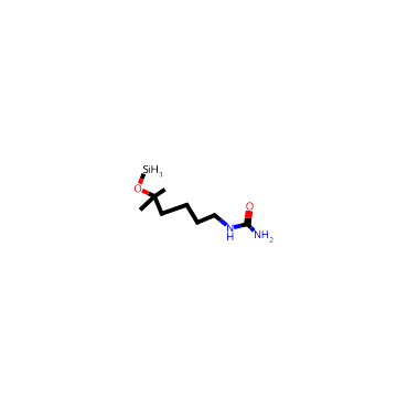 CC(C)(CCCCNC(N)=O)O[SiH3]